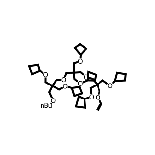 C=COCC(COCC(COCC(COCCCC)(COC1CCC1)COC1CCC1)(COC1CCC1)COC1CCC1)(COC1CCC1)COC1CCC1